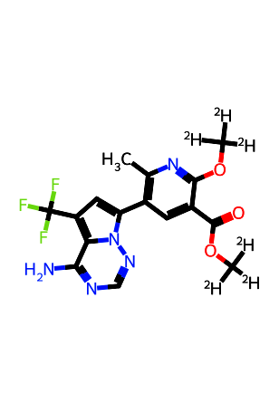 [2H]C([2H])([2H])OC(=O)c1cc(-c2cc(C(F)(F)F)c3c(N)ncnn23)c(C)nc1OC([2H])([2H])[2H]